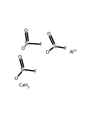 O=[Si]([O-])F.O=[Si]([O-])F.O=[Si]([O-])F.[Al+3].[CaH2]